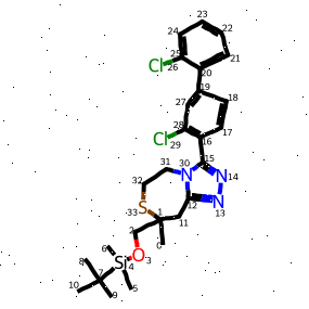 CC1(CO[Si](C)(C)C(C)(C)C)Cc2nnc(-c3ccc(-c4ccccc4Cl)cc3Cl)n2CCS1